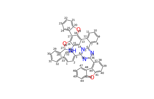 c1ccc(-c2nc(-c3ccccc3-c3cc4c(c5c3oc3ccccc35)OC(c3ccccc3)N4)nc(-c3cccc4oc5ccccc5c34)n2)cc1